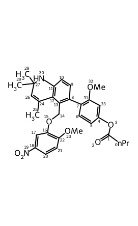 CCCC(=O)Oc1ccc(-c2ccc3c(c2COc2cc([N+](=O)[O-])ccc2OC)C(C)=CC(C)(C)N3)c(OC)c1